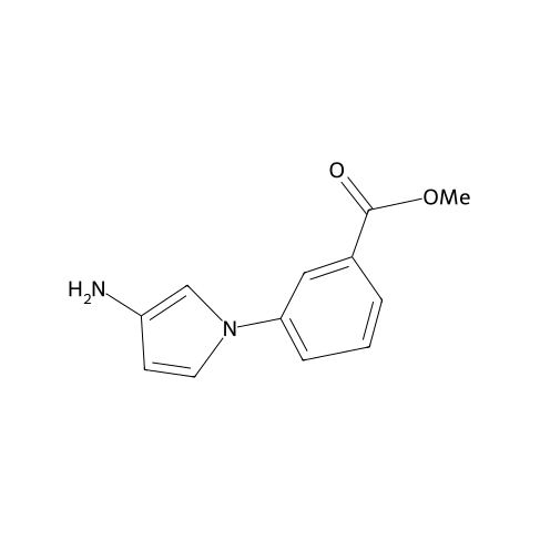 COC(=O)c1cccc(-n2ccc(N)c2)c1